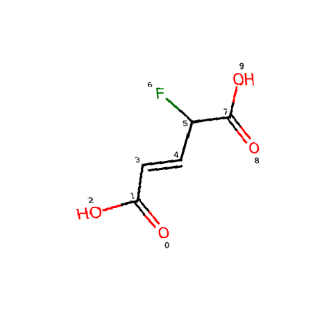 O=C(O)/C=C/C(F)C(=O)O